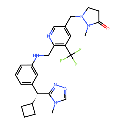 CN1C(=O)CCN1Cc1cnc(CNc2cccc([C@H](c3nncn3C)C3CCC3)c2)c(C(F)(F)F)c1